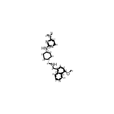 COc1ccc(CNC[C@H]2CC[C@@H](Nc3nccc(N(C)C)n3)CC2)c2ccccc12